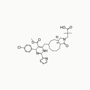 COC(=O)C1=C(CC2CCCCC3C(=O)N(CC(C)(C)C(=O)O)C[C@@H]3CC2)NC(c2nccs2)=NC1c1ccc(Cl)cc1